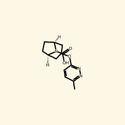 Cc1ccc(OC2C[C@H]3CC[C@@H](C2)N3C(=O)O)nn1